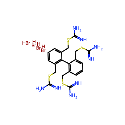 Br.Br.Br.Br.N=C(N)SCc1cccc(CSC(=N)N)c1-c1c(CSC(=N)N)cccc1CSC(=N)N